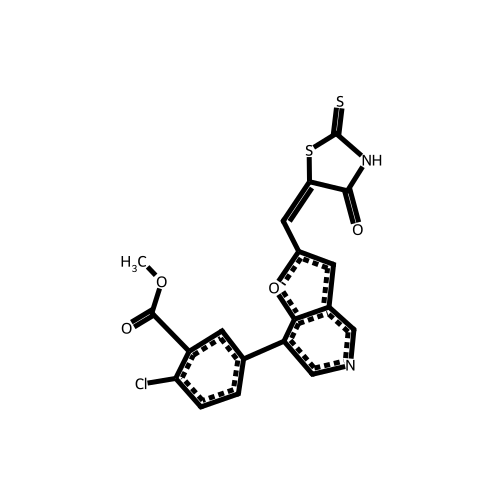 COC(=O)c1cc(-c2cncc3cc(C=C4SC(=S)NC4=O)oc23)ccc1Cl